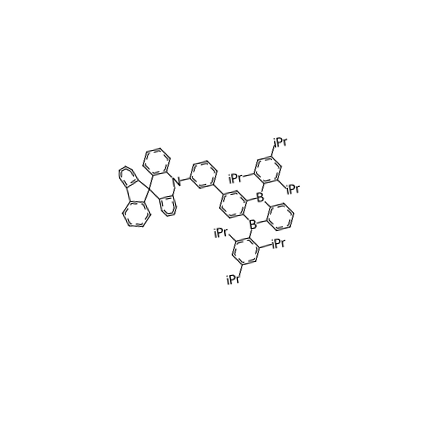 CC(C)c1cc(C(C)C)c(B2c3ccccc3B(c3c(C(C)C)cc(C(C)C)cc3C(C)C)c3cc(-c4cccc(N5c6ccccc6C6(c7ccccc7-c7ccccc76)c6ccccc65)c4)ccc32)c(C(C)C)c1